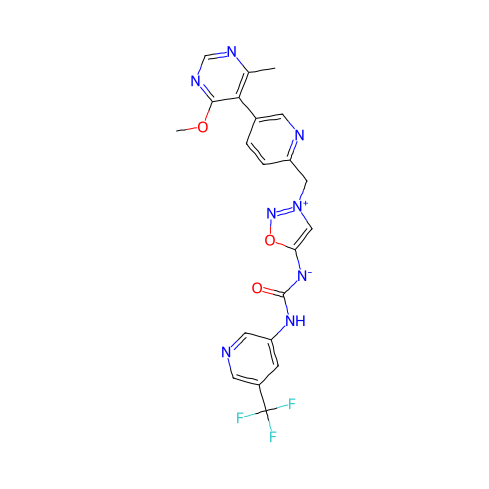 COc1ncnc(C)c1-c1ccc(C[n+]2cc([N-]C(=O)Nc3cncc(C(F)(F)F)c3)on2)nc1